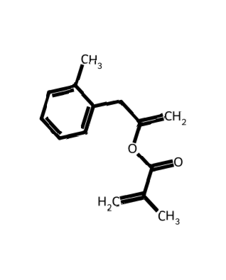 C=C(Cc1ccccc1C)OC(=O)C(=C)C